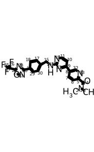 CN(C)C(=O)c1ccc(-c2ccnc(NCc3ccc(-c4noc(C(F)(F)F)n4)cc3)n2)cn1